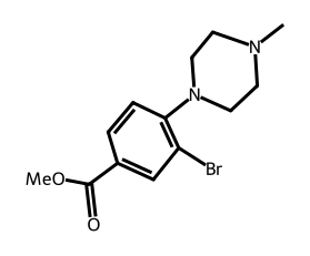 COC(=O)c1ccc(N2CCN(C)CC2)c(Br)c1